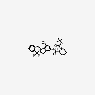 CC(C)(C)OC(=O)N1CCCC[C@@H]1C(=O)Nc1cc(Cl)c2c(c1)CCN2Cc1ccccc1C(F)(F)F